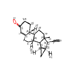 C#C[C@H]1[C@H]2C[C@H]2C2[C@@H]3CCC4=CC(=O)CC[C@@H]4C3CC[C@@]21C